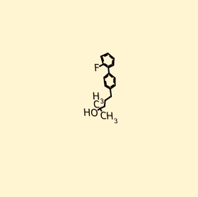 CC(C)(O)CCCc1ccc(-c2ccccc2F)cc1